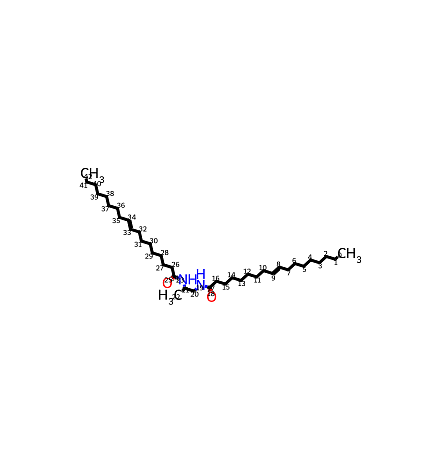 CCCCCCCCC=CCCCCCCCC(=O)NCC(C)NC(=O)CCCCCCCC=CCCCCCCCC